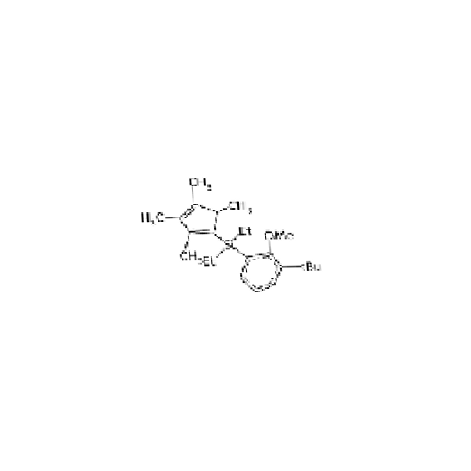 CC[Si](CC)(C1=C(C)C(C)=C(C)C1C)c1cccc(C(C)(C)C)c1OC